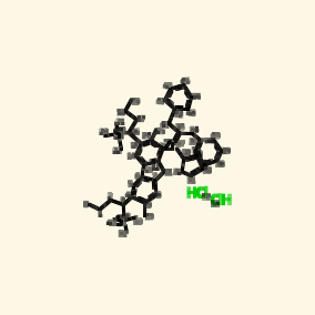 CCCC(c1cc2c(cc1C)Cc1c-2cc(C(CCC)[Si](C)(C)C)c(C)[c]1[Zr]([C]1=CC=CC1)=[C](Cc1ccccc1)Cc1ccccc1)[Si](C)(C)C.Cl.Cl